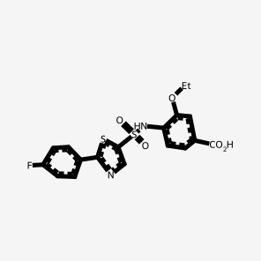 CCOc1cc(C(=O)O)ccc1NS(=O)(=O)c1cnc(-c2ccc(F)cc2)s1